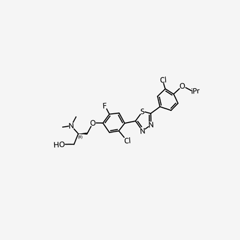 CC(C)Oc1ccc(-c2nnc(-c3cc(F)c(OC[C@@H](CO)N(C)C)cc3Cl)s2)cc1Cl